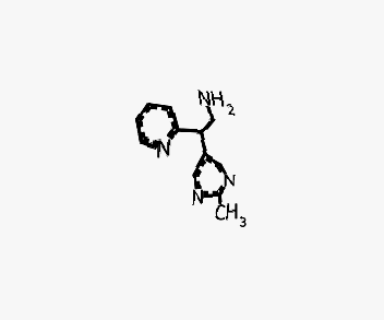 Cc1ncc(C(CN)c2ccccn2)cn1